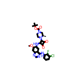 COc1cc2ncnc(Nc3cccc(Cl)c3F)c2cc1Nc1c(N2CCN(C(=O)OC(C)(C)C)C[C@H]2C)c(=O)c1=O